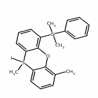 Cc1cccc2c1Oc1c([Si](C)(C)c3ccccc3)cccc1S2(C)I